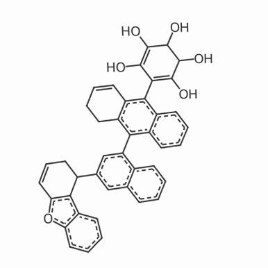 OC1=C(O)C(O)C(O)C(O)=C1c1c2c(c(-c3cc(C4CC=Cc5oc6ccccc6c54)cc4ccccc34)c3ccccc13)CCC=C2